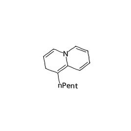 CCCCCC1=C2C=CC=CN2C=CC1